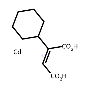 O=C(O)/C=C(\C(=O)O)C1CCCCC1.[Cd]